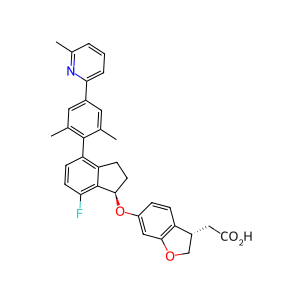 Cc1cccc(-c2cc(C)c(-c3ccc(F)c4c3CC[C@H]4Oc3ccc4c(c3)OC[C@H]4CC(=O)O)c(C)c2)n1